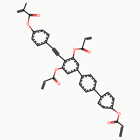 C=CC(=O)Oc1ccc(-c2ccc(-c3cc(OC(=O)C=C)c(C#Cc4ccc(OC(=O)C(=C)C)cc4)c(OC(=O)C=C)c3)cc2)cc1